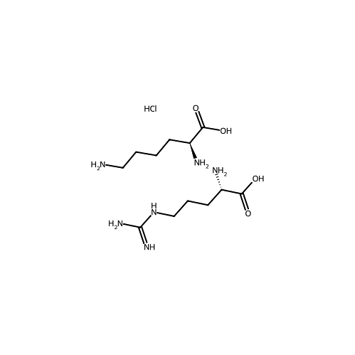 Cl.N=C(N)NCCC[C@H](N)C(=O)O.NCCCC[C@H](N)C(=O)O